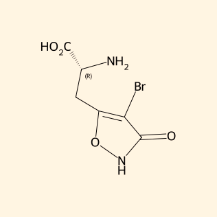 N[C@H](Cc1o[nH]c(=O)c1Br)C(=O)O